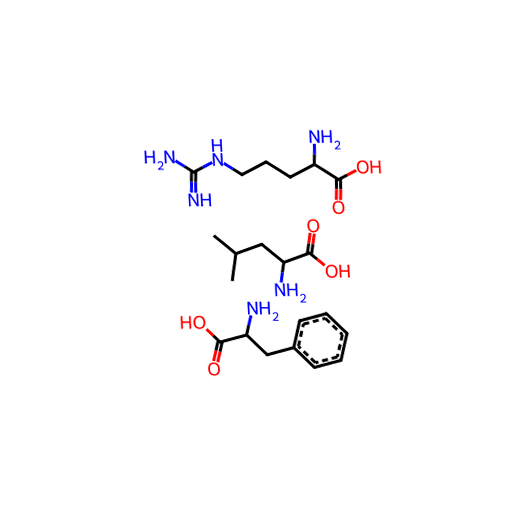 CC(C)CC(N)C(=O)O.N=C(N)NCCCC(N)C(=O)O.NC(Cc1ccccc1)C(=O)O